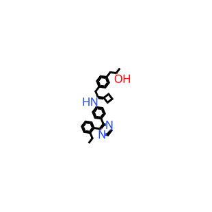 CCc1ccccc1-c1nccnc1-c1ccc(NC(Cc2ccc(CC(C)O)cc2)=C2CCC2)cc1